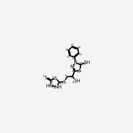 S=C1NNC(SCC(S)C2=NN(c3ccccc3)C(S)S2)S1